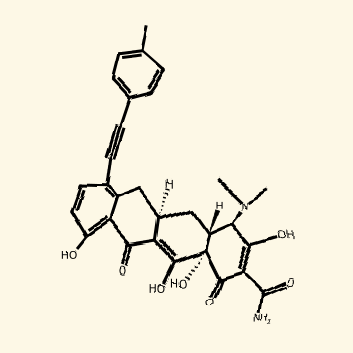 Cc1ccc(C#Cc2ccc(O)c3c2C[C@H]2C[C@@H]4[C@@H](N(C)C)C(O)=C(C(N)=O)C(=O)[C@@]4(O)C(O)=C2C3=O)cc1